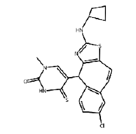 Cn1cc(C2c3ccc(Cl)cc3C=Cc3sc(NC4CCC4)nc32)c(=S)[nH]c1=O